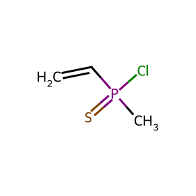 C=CP(C)(=S)Cl